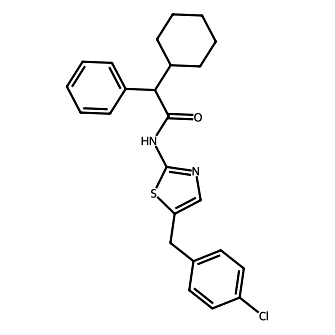 O=C(Nc1ncc(Cc2ccc(Cl)cc2)s1)C(c1ccccc1)C1CCCCC1